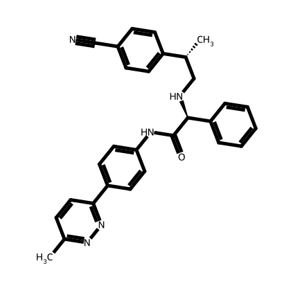 Cc1ccc(-c2ccc(NC(=O)[C@@H](NC[C@@H](C)c3ccc(C#N)cc3)c3ccccc3)cc2)nn1